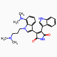 CN(C)CCCn1cc(C2=C(c3c[nH]c4ccccc34)C(=O)NC2=O)c2cccc(N(C)C)c21